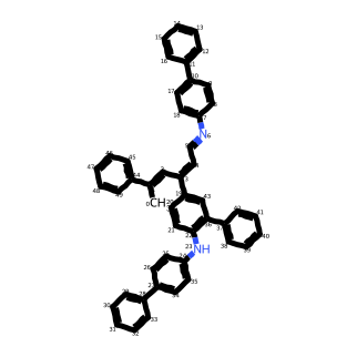 C\C(=C/C(=C\C=N\c1ccc(-c2ccccc2)cc1)c1ccc(Nc2ccc(-c3ccccc3)cc2)c(-c2ccccc2)c1)c1ccccc1